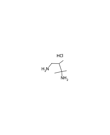 CC(CN)C(C)(C)N.Cl